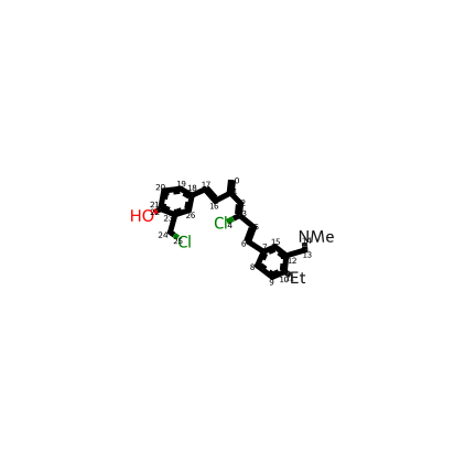 C=C(/C=C(Cl)/C=C/c1ccc(CC)c(CNC)c1)/C=C/c1ccc(O)c(CCl)c1